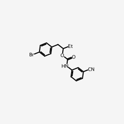 CCC(Cc1ccc(Br)cc1)OC(=O)Nc1cccc(C#N)c1